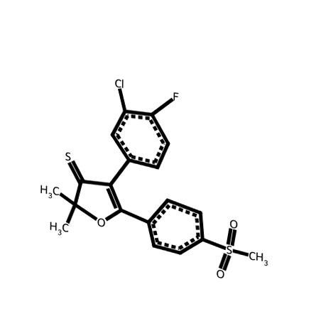 CC1(C)OC(c2ccc(S(C)(=O)=O)cc2)=C(c2ccc(F)c(Cl)c2)C1=S